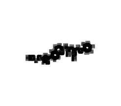 O=C(O)c1csc(-c2ccc3c(c2)CC[C@H](CNC[C@H](O)COc2ccccc2)O3)c1